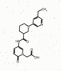 CCc1cncc(N2CCCC(C(=O)Nc3ccc(=O)n(CC(=O)O)c3)C2)c1